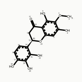 COc1c(O)cc2c(c1O)C(=O)C[C@H](c1ccc(O)c(O)c1O)O2